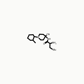 CC1CCCCC1N1CCC(C#N)(NC(=O)C(N)CC(C)(C)C)CC1